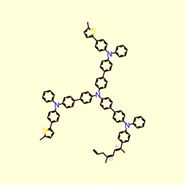 C=CC/C(C)=C\C=C(/C)c1ccc(N(c2ccccc2)c2ccc(-c3ccc(N(c4ccc(-c5ccc(N(c6ccccc6)c6ccc(-c7ccc(C)s7)cc6)cc5)cc4)c4ccc(-c5ccc(N(c6ccccc6)c6ccc(-c7ccc(C)s7)cc6)cc5)cc4)cc3)cc2)cc1